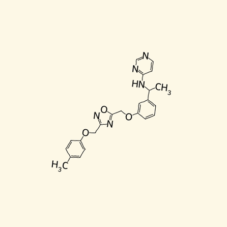 Cc1ccc(OCc2noc(COc3cccc(C(C)Nc4ccncn4)c3)n2)cc1